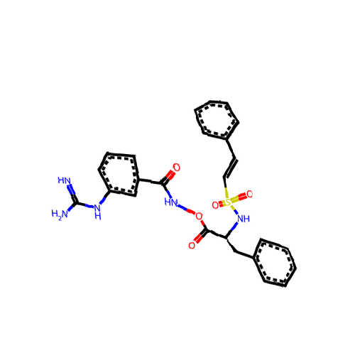 N=C(N)Nc1cccc(C(=O)NOC(=O)[C@H](Cc2ccccc2)NS(=O)(=O)C=Cc2ccccc2)c1